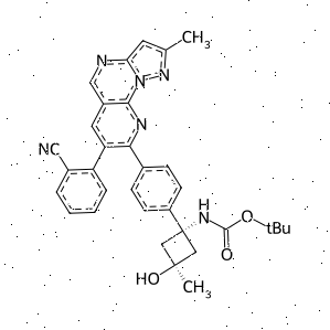 Cc1cc2ncc3cc(-c4ccccc4C#N)c(-c4ccc([C@]5(NC(=O)OC(C)(C)C)C[C@](C)(O)C5)cc4)nc3n2n1